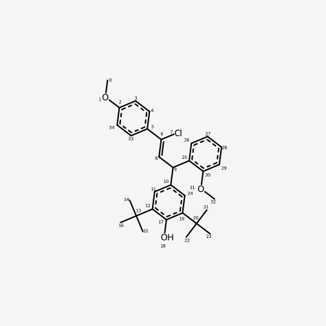 COc1ccc(C(Cl)=CC(c2cc(C(C)(C)C)c(O)c(C(C)(C)C)c2)c2ccccc2OC)cc1